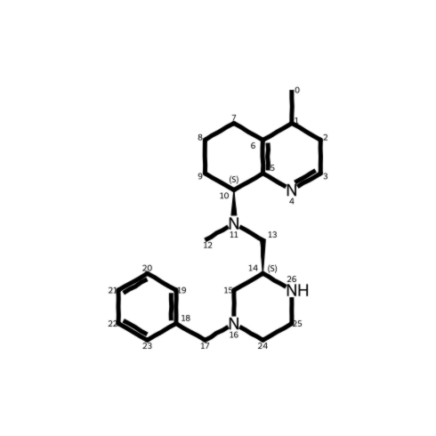 CC1CC=NC2=C1CCC[C@@H]2N(C)C[C@@H]1CN(Cc2ccccc2)CCN1